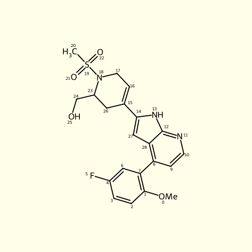 COc1ccc(F)cc1-c1ccnc2[nH]c(C3=CCN(S(C)(=O)=O)C(CO)C3)cc12